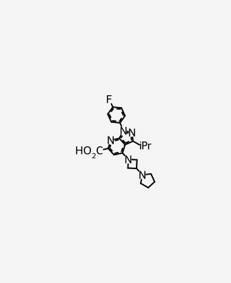 CC(C)c1nn(-c2ccc(F)cc2)c2nc(C(=O)O)cc(N3CC(N4CCCC4)C3)c12